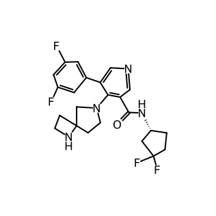 O=C(N[C@@H]1CCC(F)(F)C1)c1cncc(-c2cc(F)cc(F)c2)c1N1CCC2(CCN2)C1